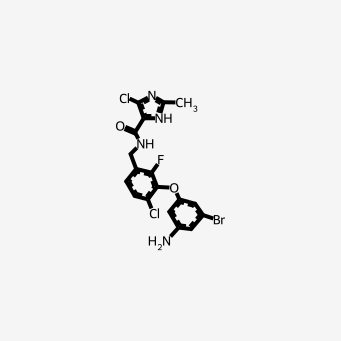 Cc1nc(Cl)c(C(=O)NCc2ccc(Cl)c(Oc3cc(N)cc(Br)c3)c2F)[nH]1